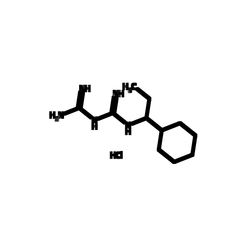 CCC(NC(=N)NC(=N)N)C1CCCCC1.Cl